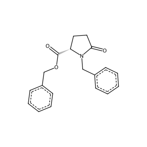 O=C(OCc1ccccc1)[C@@H]1CCC(=O)N1Cc1ccccc1